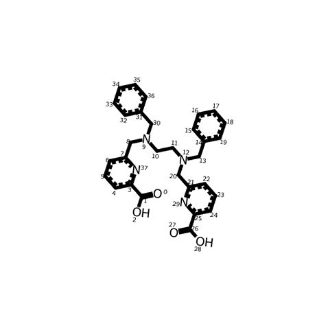 O=C(O)c1cccc(CN(CCN(Cc2ccccc2)Cc2cccc(C(=O)O)n2)Cc2ccccc2)n1